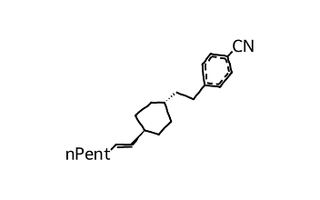 CCCCC/C=C/[C@H]1CC[C@H](CCc2ccc(C#N)cc2)CC1